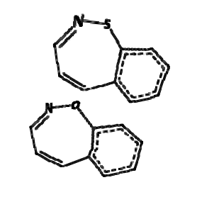 C1=Cc2ccccc2ON=C1.C1=Cc2ccccc2SN=C1